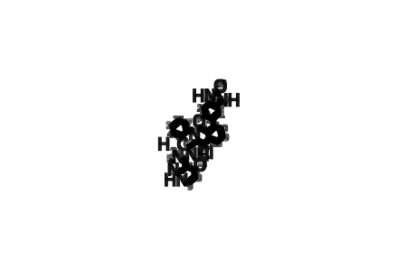 C[C@H](Nc1ncnc2[nH]ccc(=O)c12)c1c(Cl)c2cccc(-c3ccc4[nH]c(=O)[nH]c4c3)c2c(=O)n1-c1ccccc1